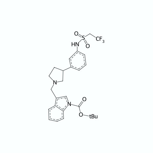 CC(C)(C)OC(=O)n1cc(CN2CCC(c3cccc(NS(=O)(=O)CC(F)(F)F)c3)C2)c2ccccc21